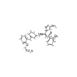 Bc1cnn2c(NCC3CCCN(Cc4ccccc4OCC(=O)O)C3)cc(-c3ccccc3O)nc12